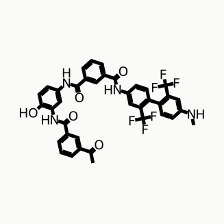 CNc1ccc(-c2ccc(NC(=O)c3cccc(C(=O)Nc4ccc(O)c(NC(=O)c5cccc(C(C)=O)c5)c4)c3)cc2C(F)(F)F)c(C(F)(F)F)c1